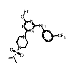 CCOc1nc(Nc2cccc(C(F)(F)F)c2)nc(N2CCN(S(=O)(=O)N(C)C)CC2)n1